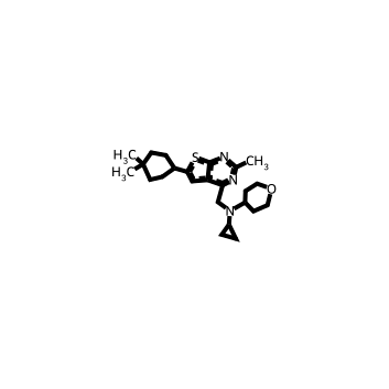 Cc1nc(CN(C2CCOCC2)C2CC2)c2cc(C3CCC(C)(C)CC3)sc2n1